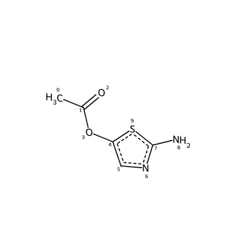 CC(=O)Oc1cnc(N)s1